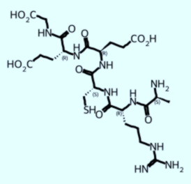 C[C@H](N)C(=O)N[C@H](CCCNC(=N)N)C(=O)N[C@H](CS)C(=O)N[C@H](CCC(=O)O)C(=O)N[C@H](CCC(=O)O)C(=O)NCC(=O)O